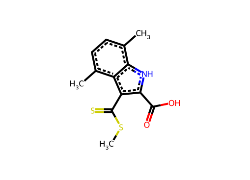 CSC(=S)c1c(C(=O)O)[nH]c2c(C)ccc(C)c12